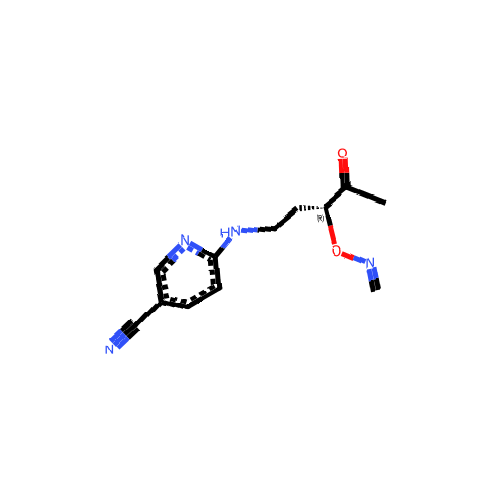 C=NO[C@H](CCNc1ccc(C#N)cn1)C(C)=O